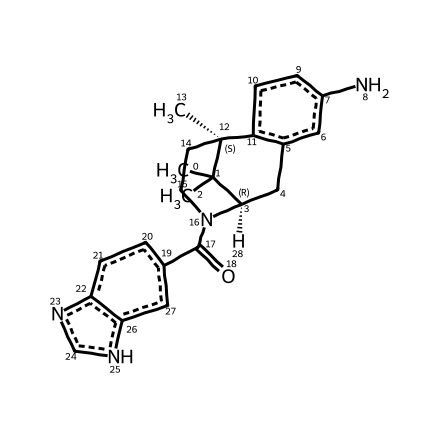 CC1(C)[C@H]2Cc3cc(N)ccc3[C@]1(C)CCN2C(=O)c1ccc2nc[nH]c2c1